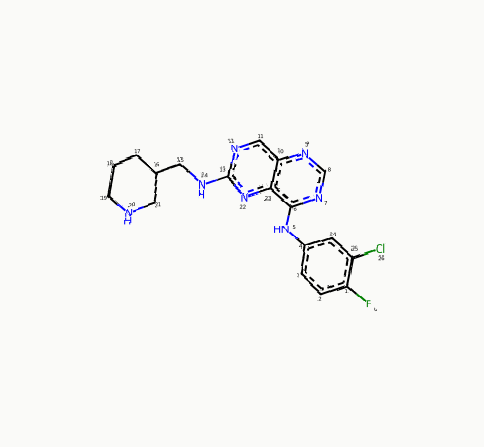 Fc1ccc(Nc2ncnc3cnc(NCC4CCCNC4)nc23)cc1Cl